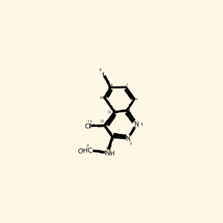 O=CNc1nnc2ccc(I)cc2c1Cl